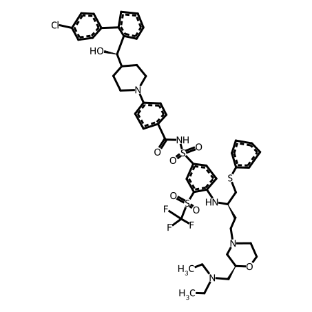 CCN(CC)C[C@H]1CN(CC[C@H](CSc2ccccc2)Nc2ccc(S(=O)(=O)NC(=O)c3ccc(N4CCC([C@@H](O)c5ccccc5-c5ccc(Cl)cc5)CC4)cc3)cc2S(=O)(=O)C(F)(F)F)CCO1